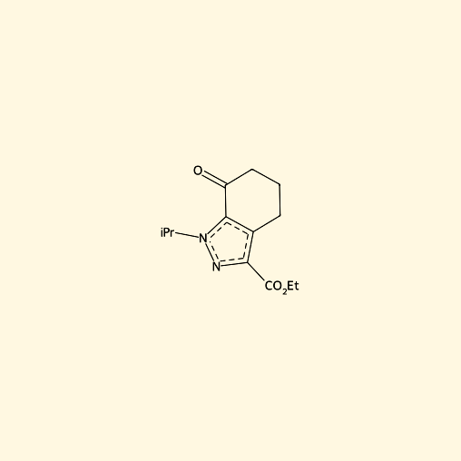 CCOC(=O)c1nn(C(C)C)c2c1CCCC2=O